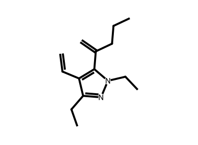 C=Cc1c(CC)nn(CC)c1C(=C)CCC